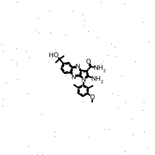 COc1ccc(C)c(-n2c(N)c(C(N)=O)c3nc4cc(C(C)(C)O)ccc4nc32)c1C